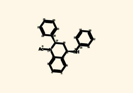 CC(=O)N1c2ccccc2[C@H](Nc2ccccc2)C[C@@H]1c1ccccc1